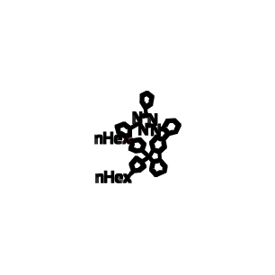 CCCCCCc1ccc(C2(c3ccc(CCCCCC)cc3)c3ccccc3-c3cc4c5ccccc5n(-c5nc(-c6ccccc6)nc(-c6ccccc6)n5)c4cc32)cc1